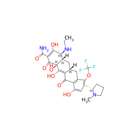 CCN[C@@H]1C(O)=C(C(N)=O)C(=O)[C@@]2(O)C(O)=C3C(=O)c4c(O)cc([C@@H]5CCCN5C)c(OC(F)(F)F)c4C[C@H]3C[C@@H]12